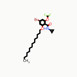 CCCCCCCCCCCCCCOc1cc(Br)cc(OC(F)F)c1C(=O)NC1CC1